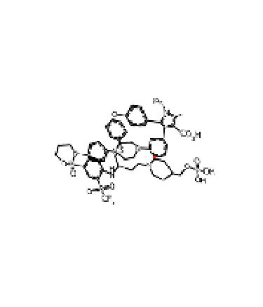 Cc1c(C(=O)O)c(-c2cccc(N3CCN(c4ccc(N5CCCOP5(=O)c5ccc(N[C@H](CCN6CCC(COP(=O)(O)O)CC6)CSc6ccccc6)c(S(=O)(=O)C(F)(F)F)c5)cc4)CC3)c2)c(-c2ccc(Cl)cc2)n1C(C)C